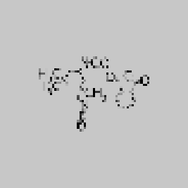 CC1(C)CC(N=C=O)CC(C)(CN=C=O)C1.O=C1OC(=O)c2ccccc21